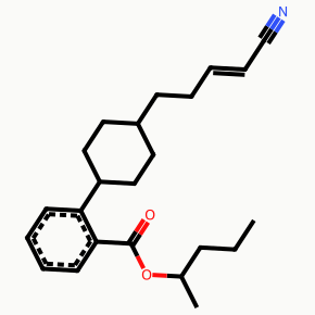 CCCC(C)OC(=O)c1ccccc1C1CCC(CC/C=C/C#N)CC1